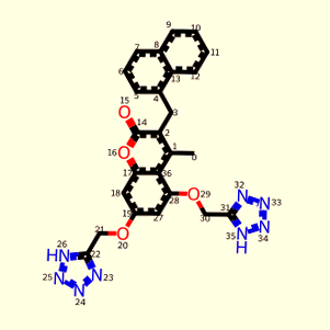 Cc1c(Cc2cccc3ccccc23)c(=O)oc2cc(OCc3nnn[nH]3)cc(OCc3nnn[nH]3)c12